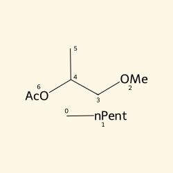 CCCCCC.COCC(C)OC(C)=O